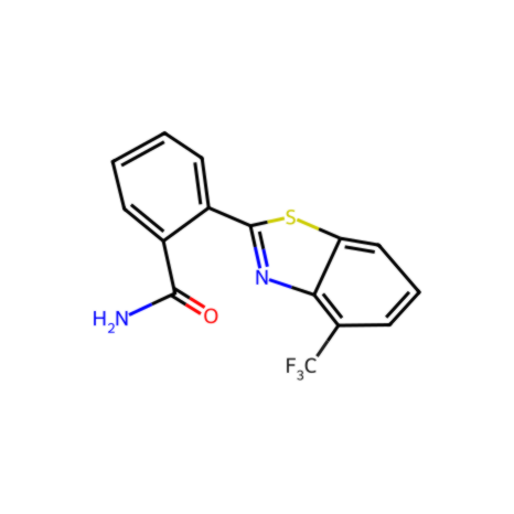 NC(=O)c1ccccc1-c1nc2c(C(F)(F)F)cccc2s1